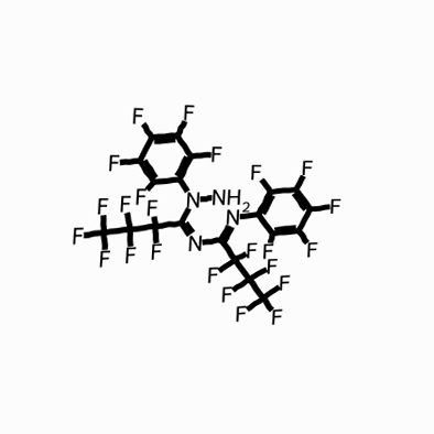 NN(/C(=N\C(=N\c1c(F)c(F)c(F)c(F)c1F)C(F)(F)C(F)(F)C(F)(F)F)C(F)(F)C(F)(F)C(F)(F)F)c1c(F)c(F)c(F)c(F)c1F